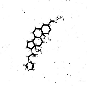 COCC1CCC2(C)C(CCC3C2CCC2(C)C3CC[C@@H]2C(=O)Cn2ccnc2)C1